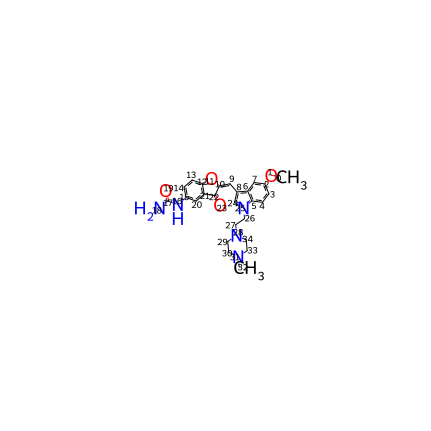 COc1ccc2c(c1)c(C=C1Oc3ccc(NC(N)=O)cc3C1=O)cn2CCN1CCN(C)CC1